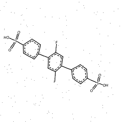 O=S(=O)(O)c1ccc(-c2cc(F)c(-c3ccc(S(=O)(=O)O)cc3)cc2F)cc1